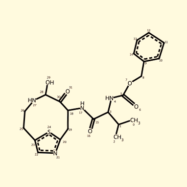 CC(C)C(NC(=O)OCc1ccccc1)C(=O)NC1Cc2ncc(s2)CCNC(O)C1=O